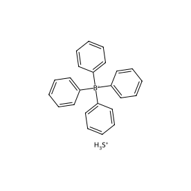 [SH3+].c1ccc([B-](c2ccccc2)(c2ccccc2)c2ccccc2)cc1